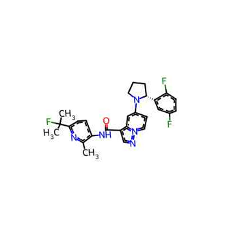 Cc1nc(C(C)(C)F)ccc1NC(=O)c1cnn2ccc(N3CCC[C@@H]3c3cc(F)ccc3F)cc12